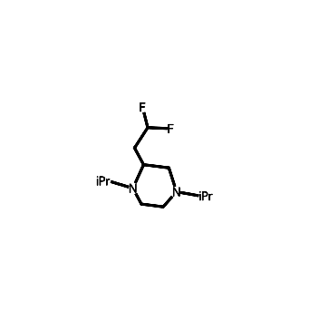 CC(C)N1CCN(C(C)C)C(CC(F)F)C1